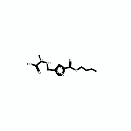 CCCCOC(=O)c1cc(CN[C@H](C)C(=O)O)cs1